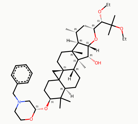 CCO[C@@H]([C@H]1C[C@@H](C)[C@H]2[C@H](O1)[C@H](O)[C@@]1(C)[C@@H]3CC[C@H]4C(C)(C)[C@@H](O[C@H]5CN(Cc6ccccc6)CCO5)CCC45C[C@@]35CC[C@]21C)C(C)(C)OCC